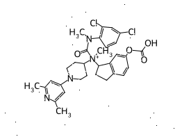 Cc1cc(N2CCC([N+](C)(C(=O)N(C)c3ccc(Cl)cc3Cl)C3CCc4ccc(OC(=O)O)cc43)CC2)cc(C)n1